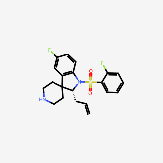 C=CC[C@H]1N(S(=O)(=O)c2ccccc2F)c2ccc(F)cc2C12CCNCC2